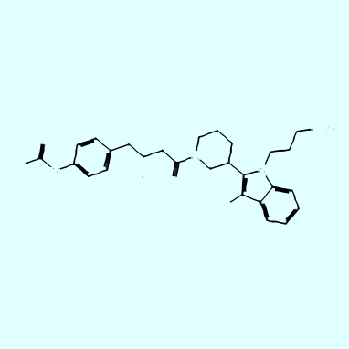 COCCCn1c(C2CCCN(C(=O)C[C@H](N)Cc3ccc(NC(=O)C(C)C)cc3)C2)c(C)c2ccccc21